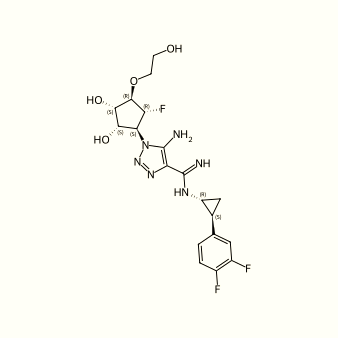 N=C(N[C@@H]1C[C@H]1c1ccc(F)c(F)c1)c1nnn([C@H]2[C@H](O)[C@H](O)[C@@H](OCCO)[C@@H]2F)c1N